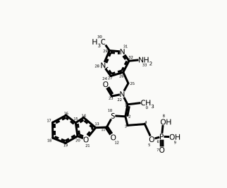 C/C(=C(\CCOP(=O)(O)O)SC(=O)c1cc2ccccc2o1)N(C=O)Cc1cnc(C)nc1N